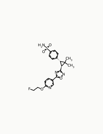 CC1(C)[C@@H](c2ccc(S(N)(=O)=O)cc2)[C@@H]1c1noc(-c2ccc(OCCF)nc2)n1